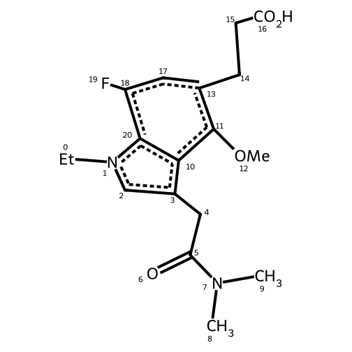 CCn1cc(CC(=O)N(C)C)c2c(OC)c(CCC(=O)O)cc(F)c21